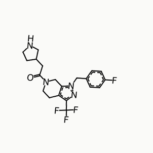 O=C(CC1CCNC1)N1CCc2c(C(F)(F)F)nn(Cc3ccc(F)cc3)c2C1